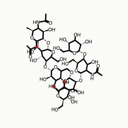 CC(=O)NC1C(O)[C@H](O[C@@H]2OC(CO)[C@H](O)C(O)[C@@H]2O)[C@H](CO)O[C@H]1O[C@@H]1C(O)[C@H](O)C(CO)O[C@@H]1OCC1O[C@@H](O[C@@H]2C(CO)O[C@@H](O[C@@H]3C(CO)O[C@@H](C)C(NC(C)=O)[C@H]3O)C(NC(C)=O)[C@H]2O)[C@H](O)C(O[C@H]2O[C@H](CO)[C@@H](O)C(O)C2O)[C@@H]1O